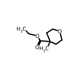 CCOC(=O)C1(C)CCOCC1